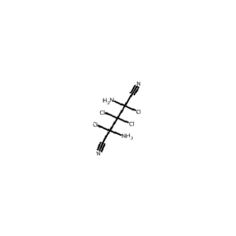 N#CC(N)(Cl)C(Cl)(Cl)C(N)(Cl)C#N